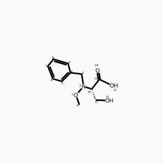 CON(Cc1ccccc1)[C@@H](CO)C(=O)O